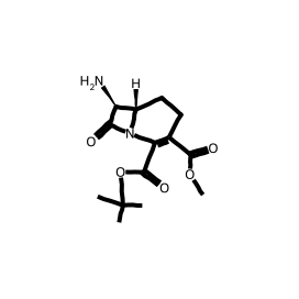 COC(=O)C1=C(C(=O)OC(C)(C)C)N2C(=O)[C@@H](N)[C@@H]2CC1